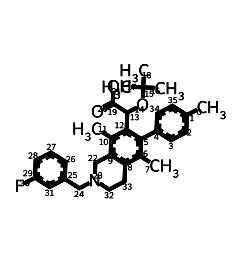 Cc1ccc(-c2c(C)c3c(c(C)c2C(OC(C)(C)C)C(=O)O)CN(Cc2cccc(F)c2)CC3)cc1